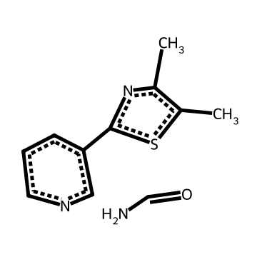 Cc1nc(-c2cccnc2)sc1C.NC=O